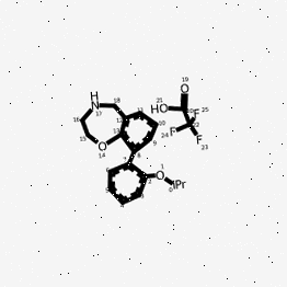 CC(C)Oc1ccccc1-c1cccc2c1OCCNC2.O=C(O)C(F)(F)F